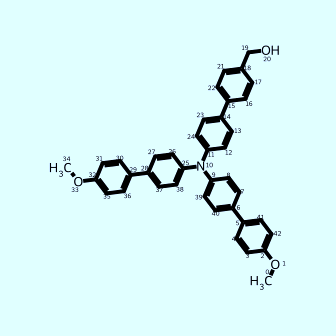 COc1ccc(-c2ccc(N(c3ccc(-c4ccc(CO)cc4)cc3)c3ccc(-c4ccc(OC)cc4)cc3)cc2)cc1